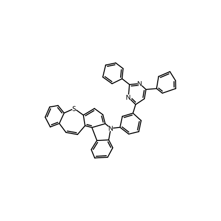 C1=Cc2c(ccc3c2c2ccccc2n3-c2cccc(-c3cc(-c4ccccc4)nc(-c4ccccc4)n3)c2)Sc2ccccc21